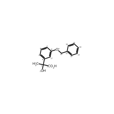 CC(O)(C(=O)O)c1cccc(OCc2ccccc2)c1